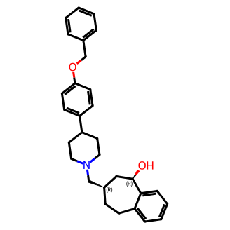 O[C@@H]1C[C@H](CN2CCC(c3ccc(OCc4ccccc4)cc3)CC2)CCc2ccccc21